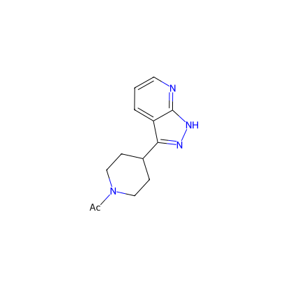 CC(=O)N1CCC(c2n[nH]c3ncccc23)CC1